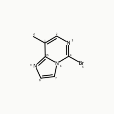 Cc1cnc(Br)n2ccnc12